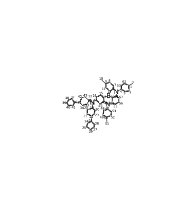 Cc1ccc(N2c3ccc(C)cc3B3c4ccc(N(c5ccc(-c6ccccc6)cc5)[C@@]5(C)C=CC(c6ccccc6)=CC5)cc4N(c4ccc(C)cc4)c4cccc2c43)cc1